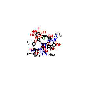 CCCCCCNC(=O)NC(=O)C[C@@H]1NC(=O)[C@H](NC(=O)[C@@H](CC(C)C)NC)[C@H](O)c2ccc(c(C)c2)Oc2cc3cc(c2O[C@@H]2O[C@H](CO)[C@@H](O)[C@H](O)[C@H]2O)Oc2ccc(cc2Cl)[C@@H](O)[C@@H]2NC(=O)[C@H](NC(=O)[C@@H]3NC1=O)c1ccc(O)c(c1)-c1c(C)cc(O)cc1[C@@H](C(=O)N1CCN(C)CC1)NC2=O